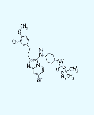 COc1ccc(CCc2nc3cc(Br)ccn3c2NC2CCC(NC(=O)OC(C)(C)C)CC2)cc1Cl